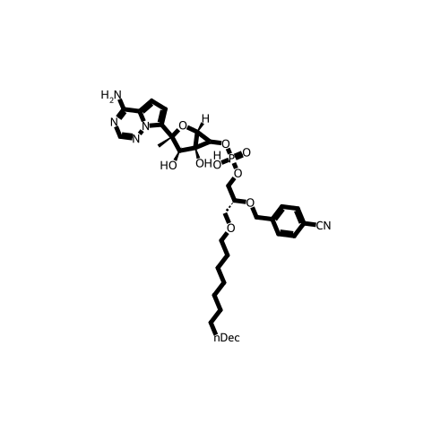 CCCCCCCCCCCCCCCCCOC[C@H](COP(=O)(O)OC1[C@H]2O[C@@](C)(c3ccc4c(N)ncnn34)[C@H](O)[C@@]12O)OCc1ccc(C#N)cc1